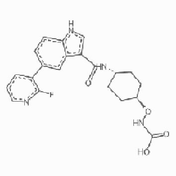 O=C(O)NO[C@H]1CC[C@H](NC(=O)c2c[nH]c3ccc(-c4cccnc4F)cc23)CC1